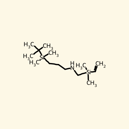 C=C[Si](C)(C)CNCCC[Si](C)(C)C(C)(C)C